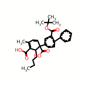 CCCCC1C(C(=O)O)=C(C)C=CC1(C(=O)O)c1ccc(-c2ccccc2)c(C(=O)OC(C)(C)C)c1